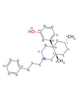 C[C@@H]1CC[C@]2(C)CN(CCCc3ccccc3)CC[C@]2(c2cccc(O)c2)C1